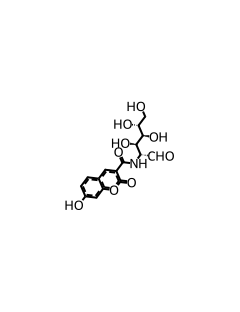 O=C[C@H](NC(=O)c1cc2ccc(O)cc2oc1=O)[C@@H](O)[C@H](O)[C@H](O)CO